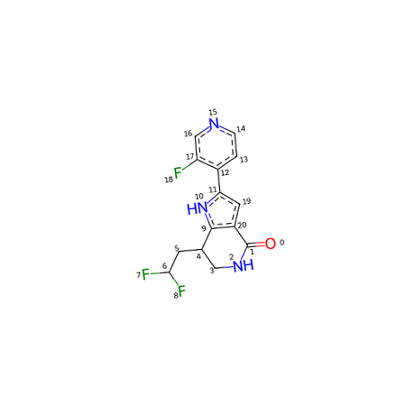 O=C1NCC(CC(F)F)c2[nH]c(-c3ccncc3F)cc21